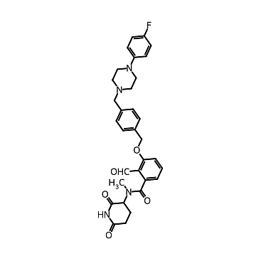 CN(C(=O)c1cccc(OCc2ccc(CN3CCN(c4ccc(F)cc4)CC3)cc2)c1C=O)C1CCC(=O)NC1=O